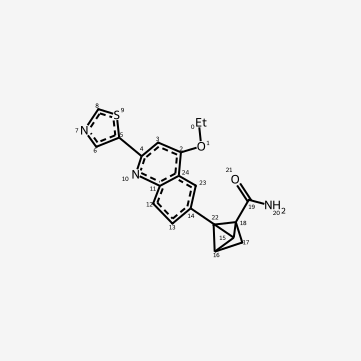 CCOc1cc(-c2cncs2)nc2ccc(C3C4CC3(C(N)=O)C4)cc12